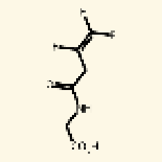 O=C(O)CNC(=O)CC(F)=C(F)F